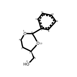 OC[C@H]1CCOC(c2ccccc2)O1